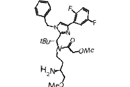 COCC(=O)N(CC[C@H](N)COC)[C@@H](c1nc(-c2cc(F)ccc2F)cn1Cc1ccccc1)C(C)(C)C